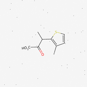 Cc1ccsc1C(C)C(=O)C(=O)O